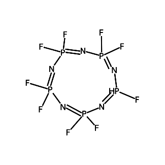 F/[PH]1=N/P(F)(F)=NP(F)(F)=NP(F)(F)=NP(F)(F)=N1